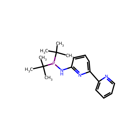 CC(C)(C)P(Nc1cccc(-c2ccccn2)n1)C(C)(C)C